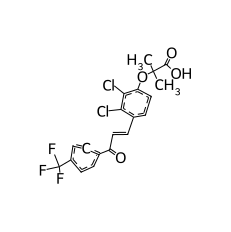 CC(C)(Oc1ccc(C=CC(=O)c2ccc(C(F)(F)F)cc2)c(Cl)c1Cl)C(=O)O